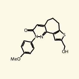 COc1ccc(-n2nc3c(cc2=O)CCCc2sc(CO)cc2-3)cc1